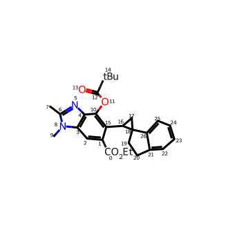 CCOC(=O)c1cc2c(nc(C)n2C)c(OC(=O)C(C)(C)C)c1C1CC12CCc1ccccc12